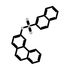 O=S(=O)(Oc1ccc2ccc3ccccc3c2c1)c1ccc2ccccc2c1